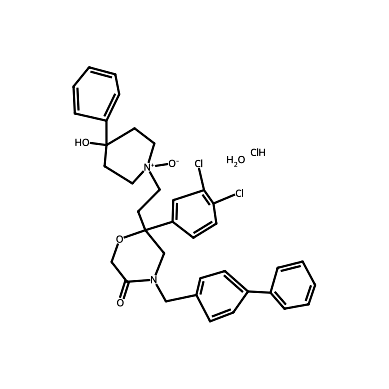 Cl.O.O=C1COC(CC[N+]2([O-])CCC(O)(c3ccccc3)CC2)(c2ccc(Cl)c(Cl)c2)CN1Cc1ccc(-c2ccccc2)cc1